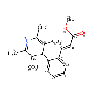 CC1=NC(C=O)=C(C(=O)O)C(c2ccccc2C=CC(=O)OC(C)(C)C)C1C(=O)O